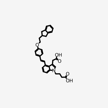 O=C(O)CCCn1cc(CC(=O)O)c2c(/C=C/c3ccc(OCCC4Cc5ccccc5C4)cc3)cccc21